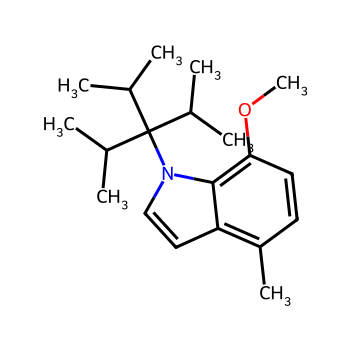 COc1ccc(C)c2ccn(C(C(C)C)(C(C)C)C(C)C)c12